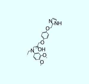 CCN(C[C@H](O)COc1ccc(OCc2ncc[nH]2)cc1)c1ccc(OC)c(OC)c1